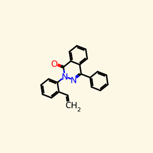 C=Cc1ccccc1-n1nc(-c2ccccc2)c2ccccc2c1=O